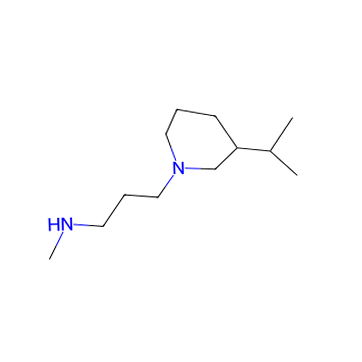 CNCCCN1CCCC(C(C)C)C1